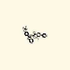 CC(Nc1c(-c2ccc(OC(F)(F)F)cc2)nc2cnccn12)C(=O)N1CCN(c2ccncc2)CC1